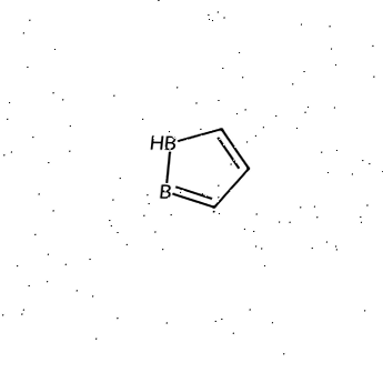 B1=[C]C=CB1